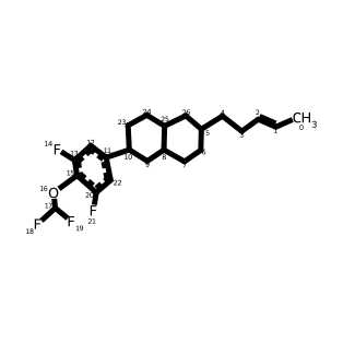 CC=CCCC1CCC2CC(c3cc(F)c(OC(F)F)c(F)c3)CCC2C1